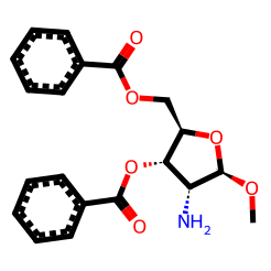 CO[C@@H]1O[C@H](COC(=O)c2ccccc2)[C@@H](OC(=O)c2ccccc2)[C@H]1N